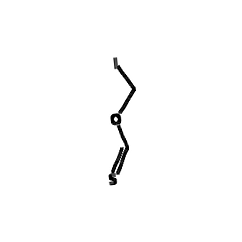 S=COCI